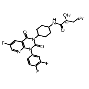 CC(C)C[C@H](O)C(=O)NC1CCC(n2c(=O)c3cc(F)cnc3n(-c3ccc(F)c(F)c3)c2=O)CC1